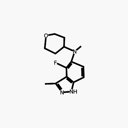 Cc1n[nH]c2ccc(N(C)C3CCOCC3)c(F)c12